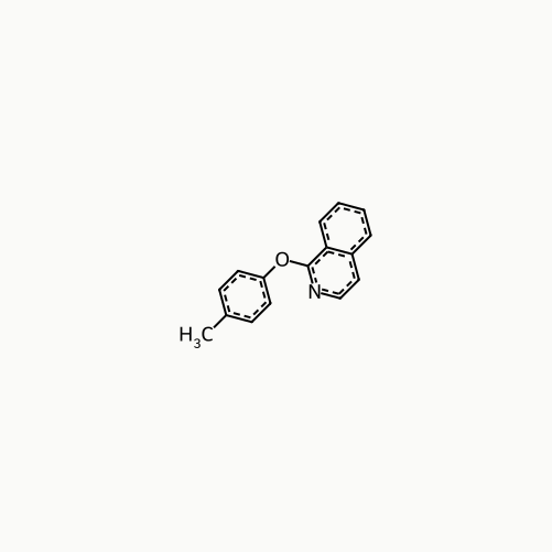 Cc1ccc(Oc2nccc3ccccc23)cc1